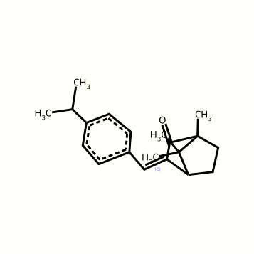 CC(C)c1ccc(/C=C2\C(=O)C3(C)CCC2C3(C)C)cc1